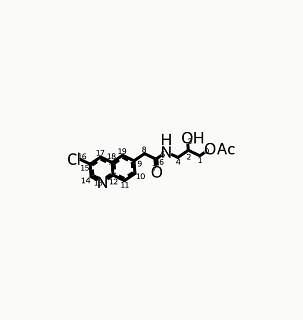 CC(=O)OCC(O)CNC(=O)Cc1ccc2ncc(Cl)cc2c1